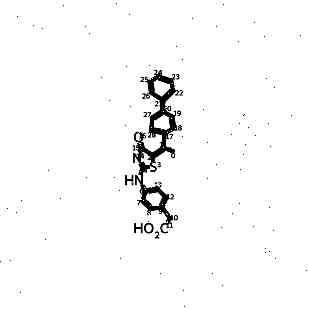 CC(=C1SC(Nc2ccc(CC(=O)O)cc2)=NC1=O)c1ccc(-c2ccccc2)cc1